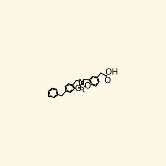 CS(=O)(=O)N(Cc1ccc(Cc2ccccc2)cc1)Cc1cccc(CC(=O)O)c1